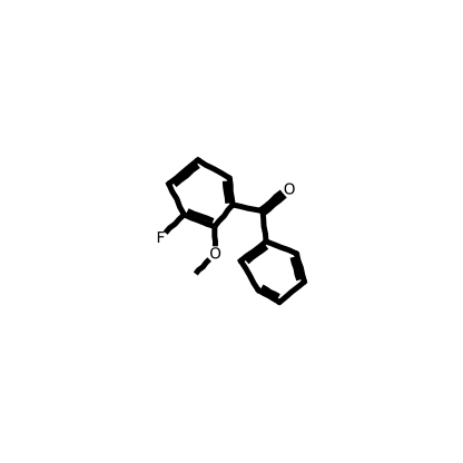 COc1c(F)cccc1C(=O)c1ccccc1